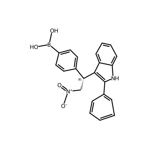 O=[N+]([O-])C[C@H](c1ccc(B(O)O)cc1)c1c(-c2ccccc2)[nH]c2ccccc12